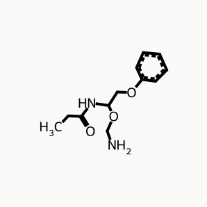 CCC(=O)NC(COc1ccccc1)OCN